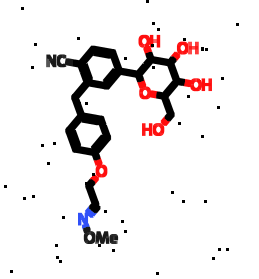 CON=CCOc1ccc(Cc2cc(C3OC(CO)C(O)C(O)C3O)ccc2C#N)cc1